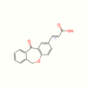 O=C(O)/C=C/c1ccc2c(c1)C(=O)c1ccccc1CO2